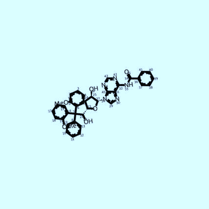 COc1ccccc1C(c1ccccc1)(c1ccccc1OC)C(O)[C@@H]1C[C@@H](O)[C@H](n2cnc3c(NC(=O)c4ccccc4)ncnc32)O1